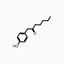 CCCCCC(=O)Cc1ccc(O)cc1